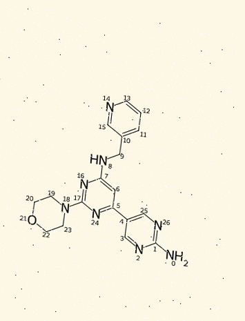 Nc1ncc(-c2cc(NCc3cccnc3)nc(N3CCOCC3)n2)cn1